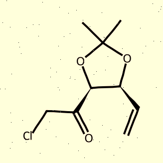 C=C[C@@H]1OC(C)(C)O[C@@H]1C(=O)CCl